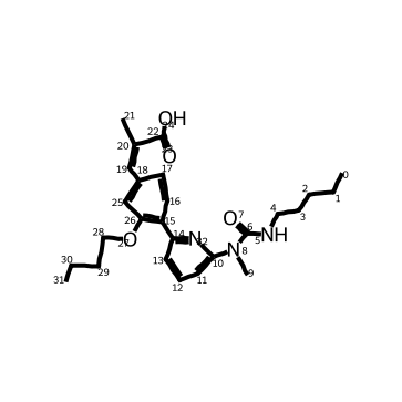 CCCCCNC(=O)N(C)c1cccc(-c2ccc(C=C(C)C(=O)O)cc2OCCCC)n1